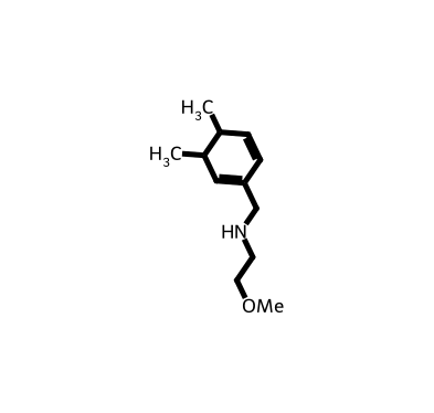 COCCNCC1=CC(C)C(C)C=C1